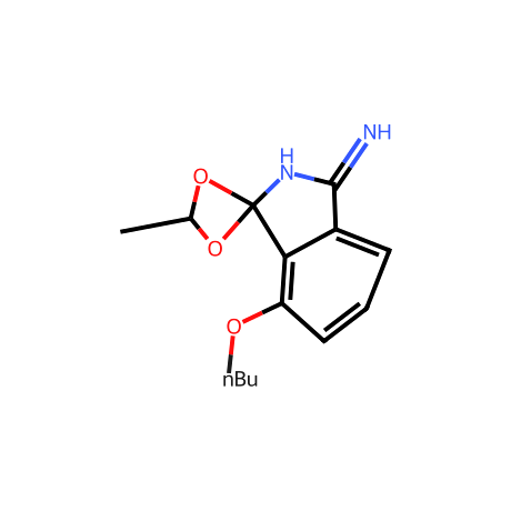 CCCCOc1cccc2c1C1(NC2=N)OC(C)O1